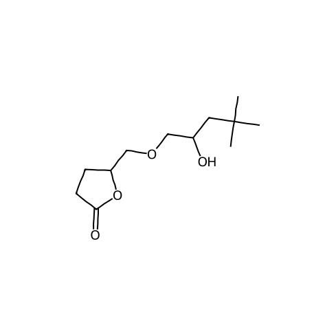 CC(C)(C)CC(O)COCC1CCC(=O)O1